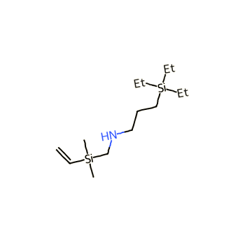 C=C[Si](C)(C)CNCCC[Si](CC)(CC)CC